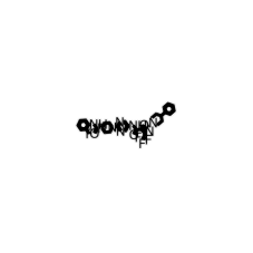 O=C(Nc1cnc(N2CCN(C(=O)Nc3ccccc3F)CC2)nc1)c1oc(N2CCC(c3ccccc3)CC2)nc1C(F)(F)F